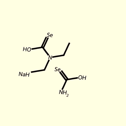 CCN(CC)C(O)=[Se].NC(O)=[Se].[NaH]